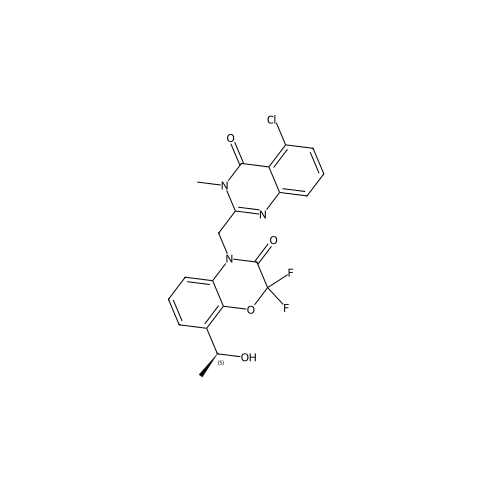 C[C@H](O)c1cccc2c1OC(F)(F)C(=O)N2Cc1nc2cccc(Cl)c2c(=O)n1C